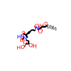 COC(=O)/C=C/C(=O)N(O)CCC#Cc1cn([C@H]2C[C@H](O)[C@@H](CO)O2)c(=O)[nH]c1=O